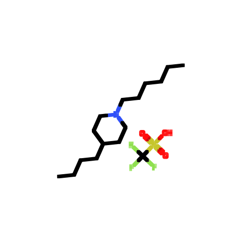 CCCCCCN1CCC(CCCC)CC1.O=S(=O)(O)C(F)(F)F